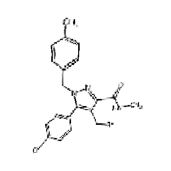 CNC(=O)c1nn(Cc2ccc(C)cc2)c(-c2ccc(Cl)cc2)c1CBr